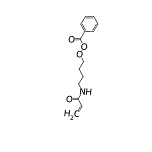 C=CC(=O)NCCCCOOC(=O)c1ccccc1